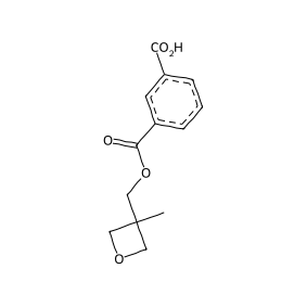 CC1(COC(=O)c2cccc(C(=O)O)c2)COC1